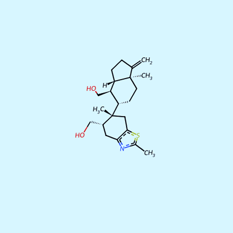 C=C1CC[C@H]2[C@H](CO)[C@@H]([C@]3(C)Cc4sc(C)nc4C[C@@H]3CO)CC[C@]12C